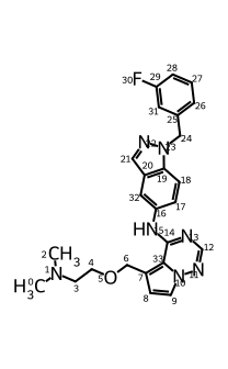 CN(C)CCOCc1ccn2ncnc(Nc3ccc4c(cnn4Cc4cccc(F)c4)c3)c12